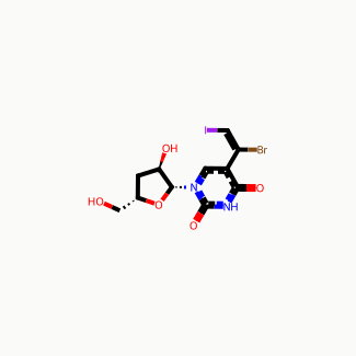 O=c1[nH]c(=O)n([C@@H]2O[C@H](CO)C[C@H]2O)cc1/C(Br)=C\I